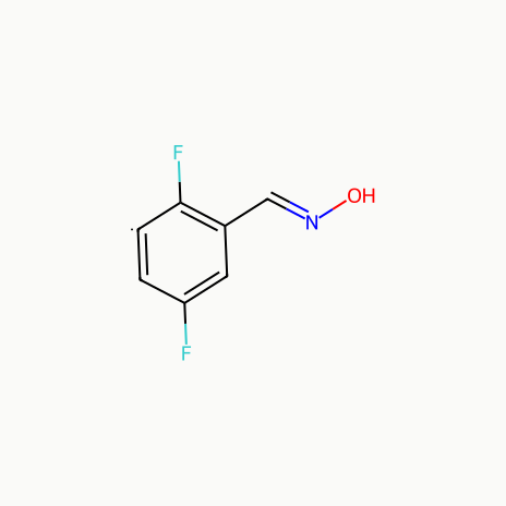 ON=Cc1cc(F)c[c]c1F